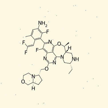 CC[C@@H]1CN2c3nc(OC[C@@H]4CC[C@H]5COCCN54)nc4c(F)c(-c5c(F)c(N)cc(C)c5C=C(F)F)nc(c34)O[C@@H](C)[C@@H]2CN1